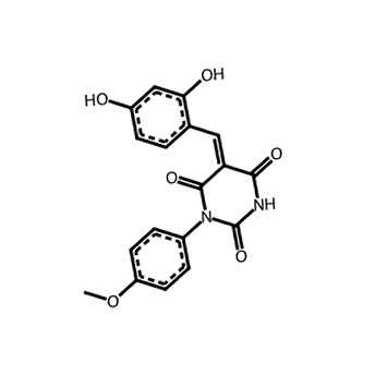 COc1ccc(N2C(=O)NC(=O)/C(=C/c3ccc(O)cc3O)C2=O)cc1